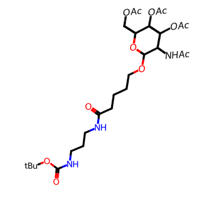 CC(=O)NC1C(OCCCCC(=O)NCCCNC(=O)OC(C)(C)C)OC(COC(C)=O)C(OC(C)=O)C1OC(C)=O